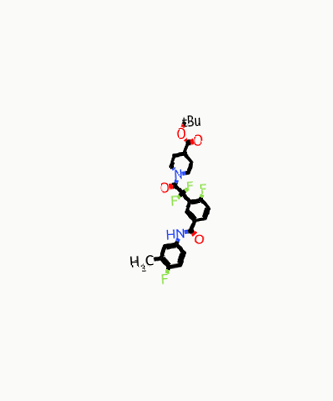 Cc1cc(NC(=O)c2ccc(F)c(C(F)(F)C(=O)N3CCC(C(=O)OC(C)(C)C)CC3)c2)ccc1F